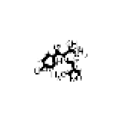 Cc1nocc1C(=O)NC(C(=O)c1ccc(Cl)cc1)C(C)C